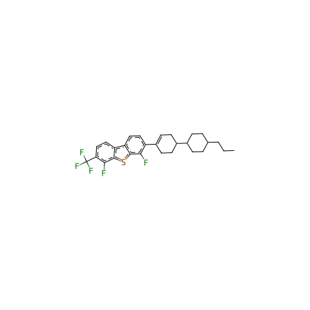 CCCC1CCC(C2CC=C(c3ccc4c(sc5c(F)c(C(F)(F)F)ccc54)c3F)CC2)CC1